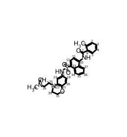 Cc1ccccc1C(=O)Nc1ccc(S(=O)(=O)Nc2ccc3c(c2)N(CCN(C)C)CCO3)c2ccccc12